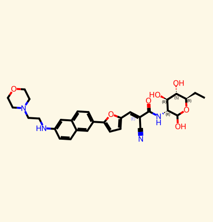 CC[C@H]1OC(O)[C@H](NC(=O)/C(C#N)=C/c2ccc(-c3ccc4cc(NCCN5CCOCC5)ccc4c3)o2)[C@@H](O)[C@@H]1O